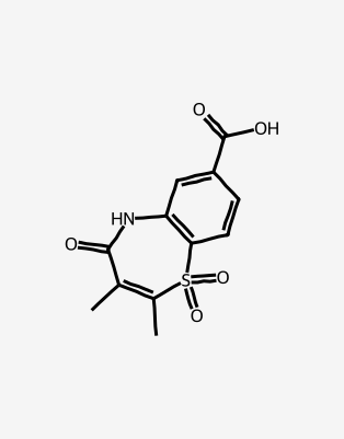 CC1=C(C)S(=O)(=O)c2ccc(C(=O)O)cc2NC1=O